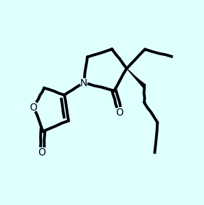 CCCC[C@]1(CC)CCN(C2=CC(=O)OC2)C1=O